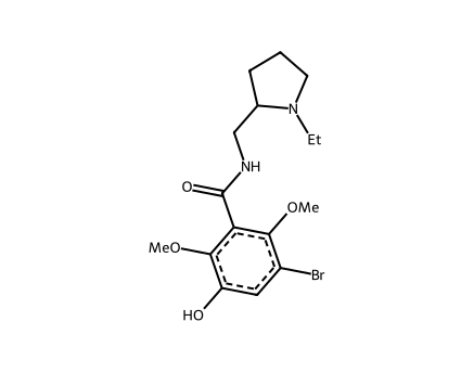 CCN1CCCC1CNC(=O)c1c(OC)c(O)cc(Br)c1OC